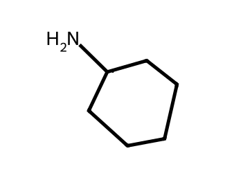 N[C]1CCCCC1